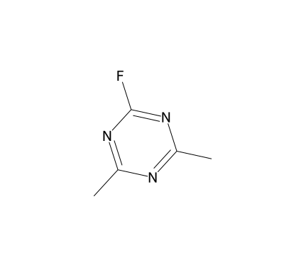 Cc1nc(C)nc(F)n1